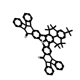 CC(C)(C)c1cc2c3c(c1)C(C)(C)C(C)(C)c1c-3c(c3c4cc5c(cc4n4c6cc7c(cc6c1c34)C1c3ccccc3C13c1ccccc1C3C7=O)C(=O)C1c3ccccc3C13c1ccccc1C53)C(C)(C)C2(C)C